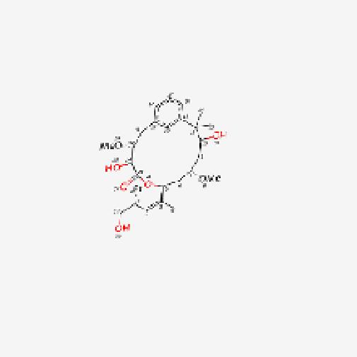 CC[C@H](/C=C(/C)[C@@H]1C[C@@H](OC)C[C@H](O)C(C)(C)c2cccc(c2)C[C@@H](OC)[C@H](O)C(=O)O1)CO